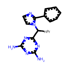 CCCC(c1nc(N)nc(N)n1)n1ccnc1-c1ccccc1